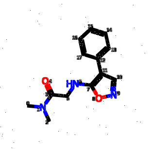 CN(C)C(=O)CNc1oncc1-c1ccccc1